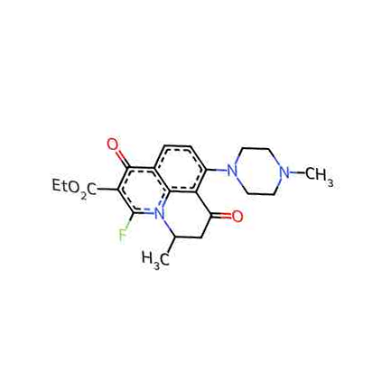 CCOC(=O)c1c(F)n2c3c(c(N4CCN(C)CC4)ccc3c1=O)C(=O)CC2C